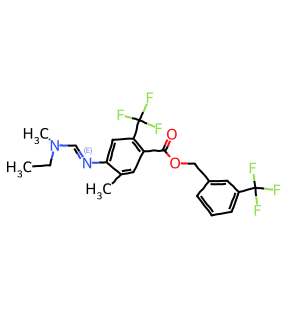 CCN(C)/C=N/c1cc(C(F)(F)F)c(C(=O)OCc2cccc(C(F)(F)F)c2)cc1C